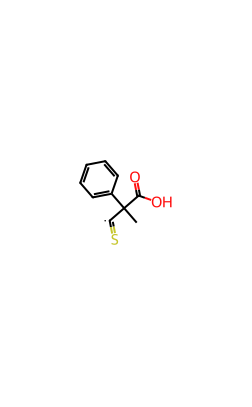 CC([C]=S)(C(=O)O)c1ccccc1